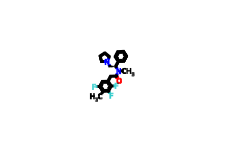 Cc1c(F)cc(CC(=O)N(C)[C@H](CN2CCCC2)c2ccccc2)c(F)c1F